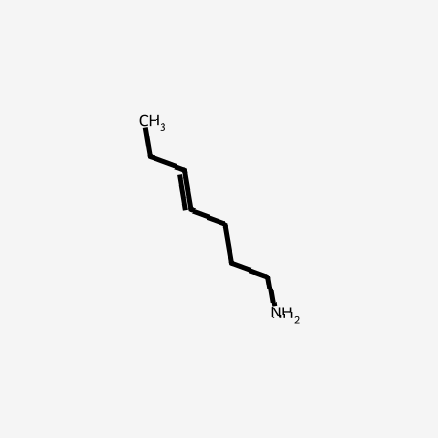 CC/C=C/CCCN